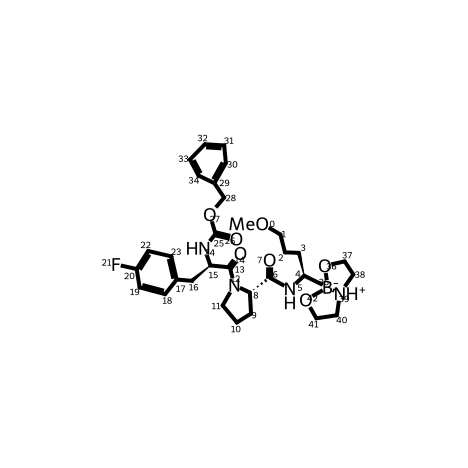 COCCC[C@H](NC(=O)[C@@H]1CCCN1C(=O)[C@@H](Cc1ccc(F)cc1)NC(=O)OCc1ccccc1)[B-]12OCC[NH+]1CCO2